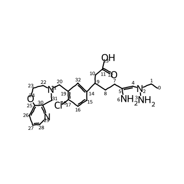 CCN(N)/C=C(\N)CCC(CC(=O)O)c1ccc(Cl)c(CN2CCOc3cccnc3C2)c1